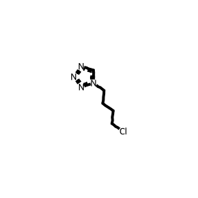 ClCCCCn1cnnn1